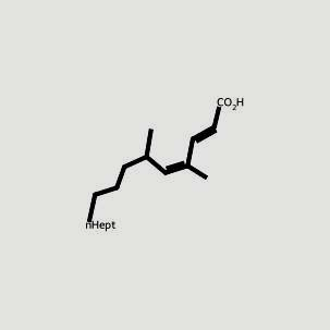 CCCCCCCCCCC(C)C=C(C)C=CC(=O)O